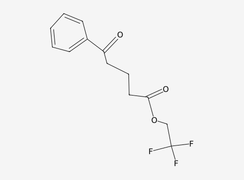 O=C(CCCC(=O)c1ccccc1)OCC(F)(F)F